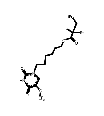 CCC(C)(CC(C)C)C(=O)OCCCCCCn1cc(OC(F)(F)F)c(=O)[nH]c1=O